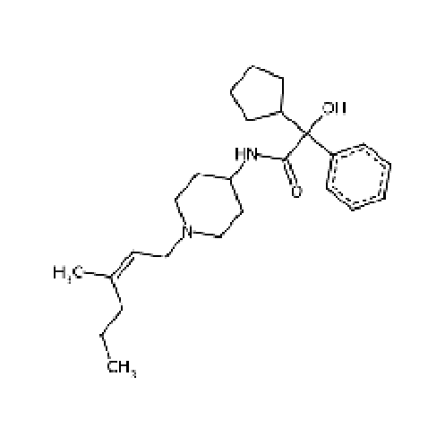 CCCC(C)=CCN1CCC(NC(=O)C(O)(c2ccccc2)C2CCCC2)CC1